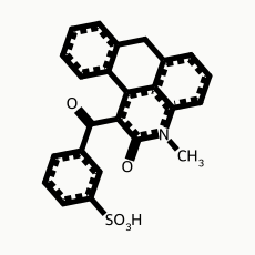 Cn1c(=O)c(C(=O)c2cccc(S(=O)(=O)O)c2)c2c3c(cccc31)Cc1ccccc1-2